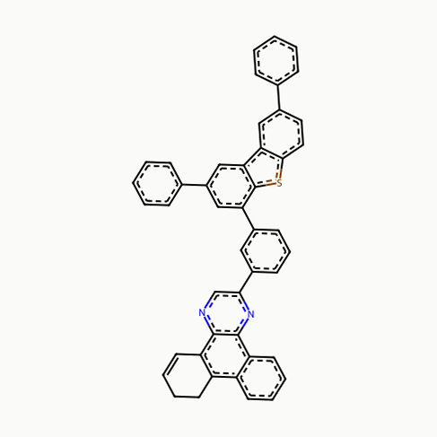 C1=Cc2c(c3ccccc3c3nc(-c4cccc(-c5cc(-c6ccccc6)cc6c5sc5ccc(-c7ccccc7)cc56)c4)cnc23)CC1